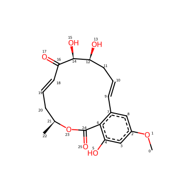 COc1cc(O)c2c(c1)/C=C/C[C@H](O)[C@H](O)C(=O)/C=C/C[C@H](C)OC2=O